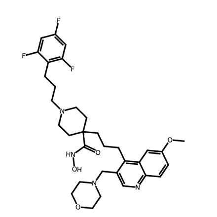 COc1ccc2ncc(CN3CCOCC3)c(CCCC3(C(=O)NO)CCN(CCCc4c(F)cc(F)cc4F)CC3)c2c1